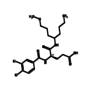 CCCCC(CCCOC)NC(=O)[C@@H](CCC(=O)O)NC(=O)c1ccc(Cl)c(Cl)c1